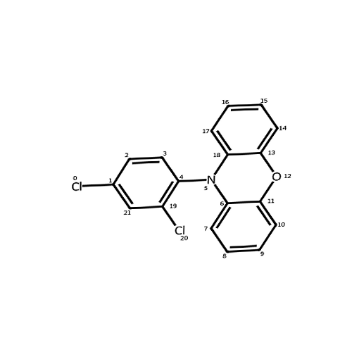 Clc1ccc(N2c3ccccc3Oc3ccccc32)c(Cl)c1